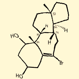 C[C@@]12CCC[C@H]1[C@@H]1CC(Br)=C3CC(O)CC(O)[C@]3(C)[C@@H]1CC2